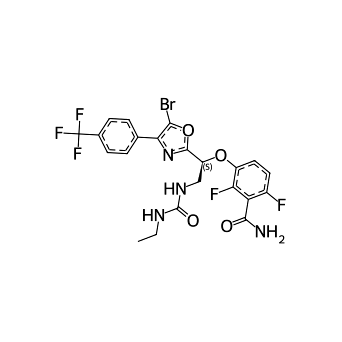 CCNC(=O)NC[C@H](Oc1ccc(F)c(C(N)=O)c1F)c1nc(-c2ccc(C(F)(F)F)cc2)c(Br)o1